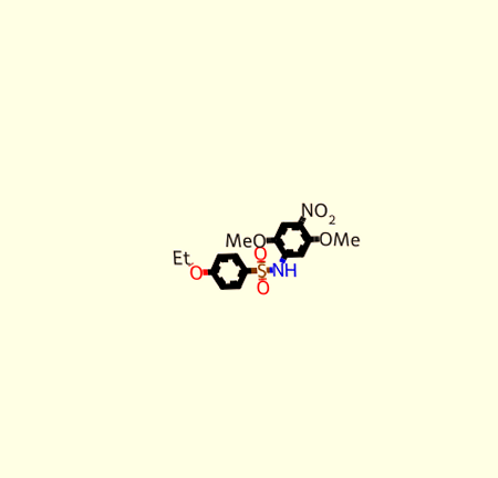 CCOc1ccc(S(=O)(=O)Nc2cc(OC)c([N+](=O)[O-])cc2OC)cc1